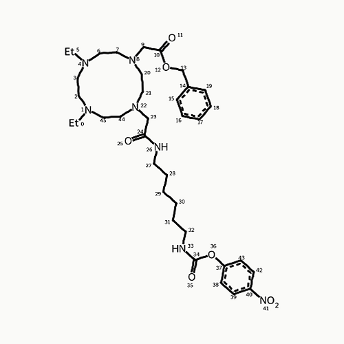 CCN1CCN(CC)CCN(CC(=O)OCc2ccccc2)CCN(CC(=O)NCCCCCCNC(=O)Oc2ccc([N+](=O)[O-])cc2)CC1